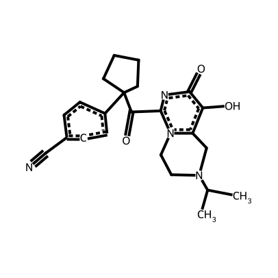 CC(C)N1CCn2c(C(=O)C3(c4ccc(C#N)cc4)CCCC3)nc(=O)c(O)c2C1